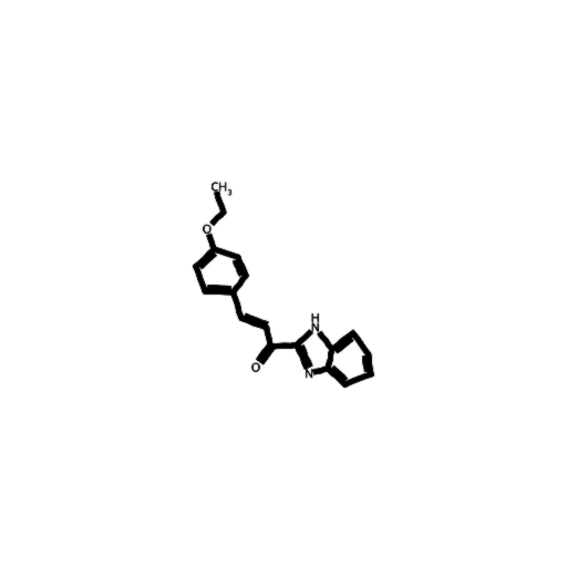 CCOc1ccc(C=CC(=O)c2nc3ccccc3[nH]2)cc1